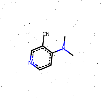 CN(C)c1ccncc1C#N